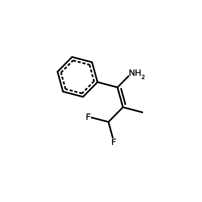 CC(=C(N)c1ccccc1)C(F)F